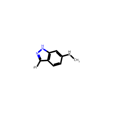 CBc1ccc2c(C(C)C)n[nH]c2c1